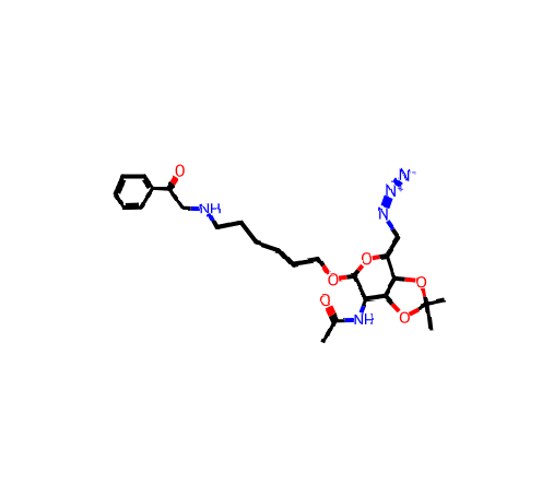 CC(=O)NC1C(OCCCCCCNCC(=O)c2ccccc2)OC(CN=[N+]=[N-])C2OC(C)(C)OC12